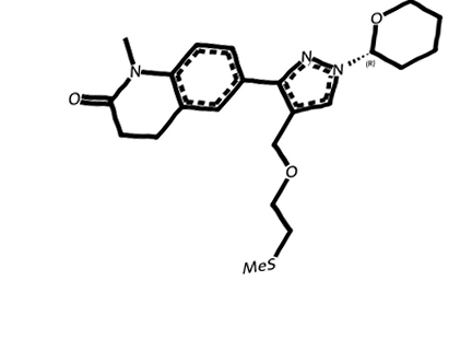 CSCCOCc1cn([C@H]2CCCCO2)nc1-c1ccc2c(c1)CCC(=O)N2C